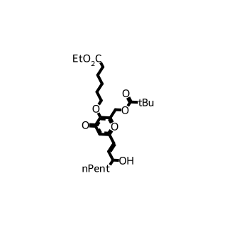 CCCCCC(O)C=Cc1cc(=O)c(OCCCCCC(=O)OCC)c(COC(=O)C(C)(C)C)o1